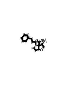 NC(=O)C12C(=O)COC1CCN2C(=O)[CH]Cc1ccccc1